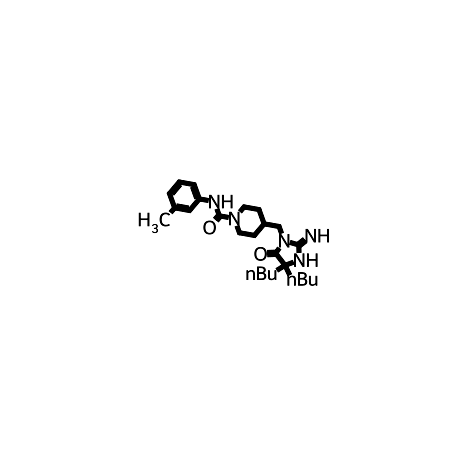 CCCCC1(CCCC)NC(=N)N(CC2CCN(C(=O)Nc3cccc(C)c3)CC2)C1=O